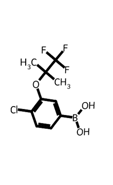 CC(C)(Oc1cc(B(O)O)ccc1Cl)C(F)(F)F